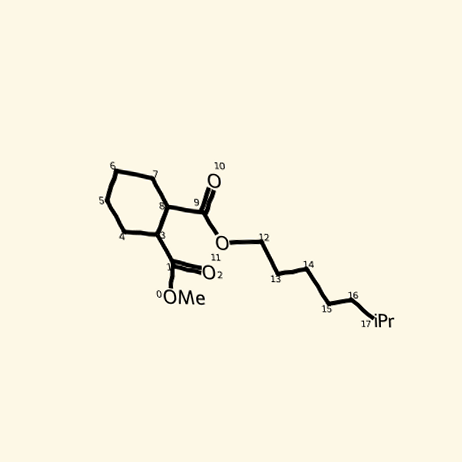 COC(=O)C1CCCCC1C(=O)OCCCCCC(C)C